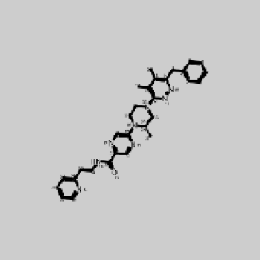 Cc1c(Cc2ccccc2)nnc(N2CCN(c3cnc(C(=O)NCCc4ccccn4)cn3)[C@H](C)C2)c1C